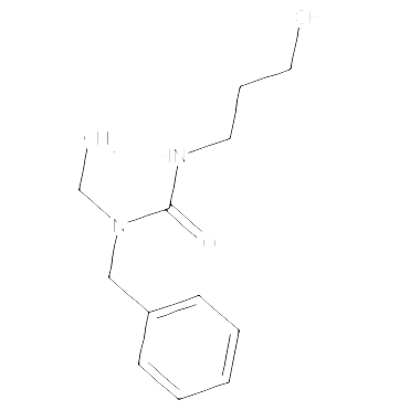 [CH2]CN(Cc1ccccc1)C(=O)NCCCC